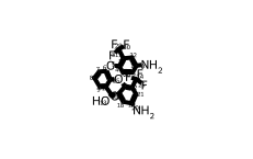 Nc1ccc(Oc2cccc(C(=O)O)c2Oc2ccc(N)cc2C(F)(F)F)c(C(F)(F)F)c1